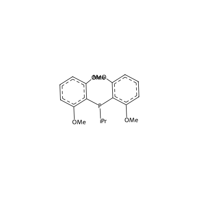 COc1cccc(OC)c1P(c1c(OC)cccc1OC)C(C)C